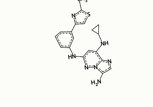 Cc1nc(-c2cccc(Nc3cc(NC4CC4)c4ncc(N)n4n3)c2)cs1